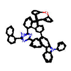 c1ccc(-c2nc(-c3cccc4c3-c3cc(-c5ccc6c7ccccc7n(-c7ccccc7)c6c5)ccc3C43c4ccccc4Oc4ccccc43)nc(-c3cccc4ccccc34)n2)cc1